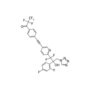 O=C(c1ccc(C#Cc2ccc(C(F)(F)C(O)(Cn3cnnn3)c3ccc(F)cc3F)nc2)cc1)C(F)(F)C(F)(F)F